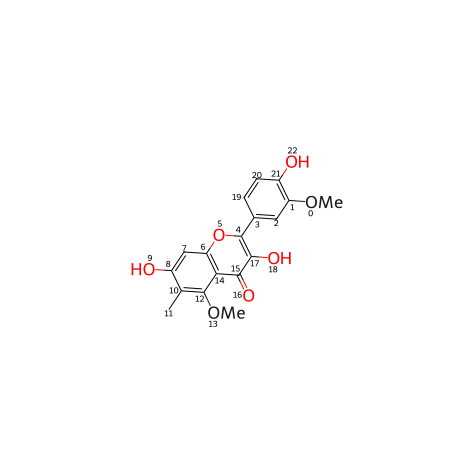 COc1cc(-c2oc3cc(O)c(C)c(OC)c3c(=O)c2O)ccc1O